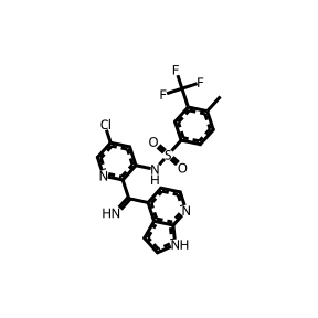 Cc1ccc(S(=O)(=O)Nc2cc(Cl)cnc2C(=N)c2ccnc3[nH]ccc23)cc1C(F)(F)F